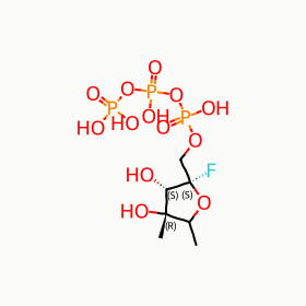 CC1O[C@](F)(COP(=O)(O)OP(=O)(O)OP(=O)(O)O)[C@@H](O)[C@@]1(C)O